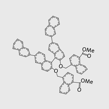 COC(=O)c1ccc(COc2ccc3cc(-c4ccc5ccccc5c4)ccc3c2-c2c(OCc3ccc(C(=O)OC)c4ccccc34)ccc3cc(-c4ccc5ccccc5c4)ccc23)c2ccccc12